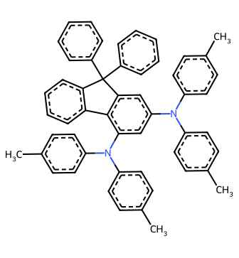 Cc1ccc(N(c2ccc(C)cc2)c2cc(N(c3ccc(C)cc3)c3ccc(C)cc3)c3c(c2)C(c2ccccc2)(c2ccccc2)c2ccccc2-3)cc1